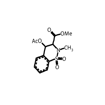 COC(=O)C1C(OC(C)=O)c2ccccc2S(=O)(=O)N1C